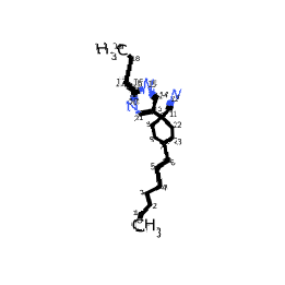 CCCCCCCC1CCC(C#N)(c2cnc(CCC)nc2)CC1